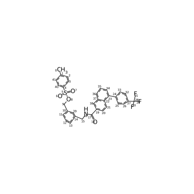 Cc1ccc(S(=O)(=O)OCc2cccc(CNC(=O)c3ccc4c(-c5ccc(C(F)(F)F)cc5)cccc4c3)c2)cc1